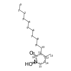 CCCCCCCCCCCc1c(C)ccn(O)c1=O